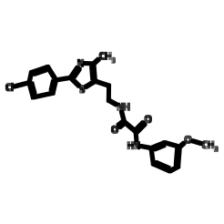 COc1cccc(NC(=O)C(=O)NCCc2sc(-c3ccc(Cl)cc3)nc2C)c1